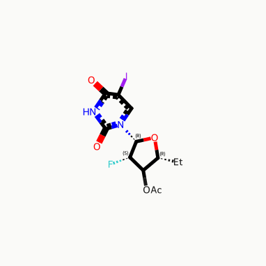 CC[C@H]1O[C@@H](n2cc(I)c(=O)[nH]c2=O)[C@@H](F)C1OC(C)=O